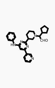 O=CC(C1CCCC1)N1CCCC(c2nc(Nc3ccccc3)cc(-c3cccnc3)n2)C1